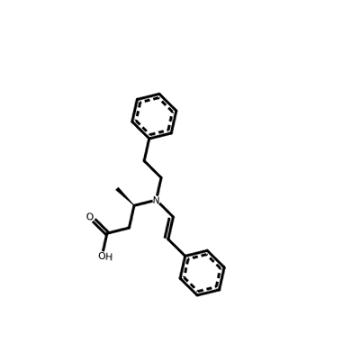 C[C@H](CC(=O)O)N(C=Cc1ccccc1)CCc1ccccc1